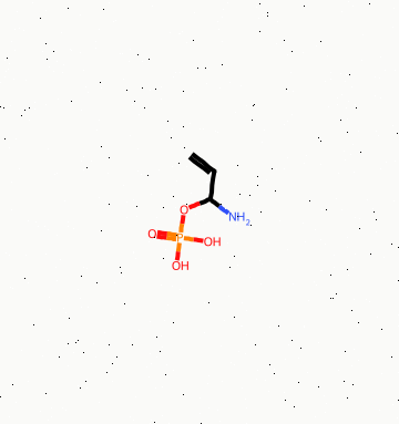 C=CC(N)OP(=O)(O)O